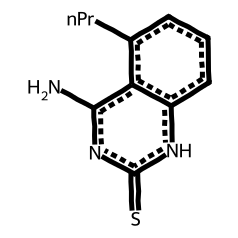 CCCc1cccc2[nH]c(=S)nc(N)c12